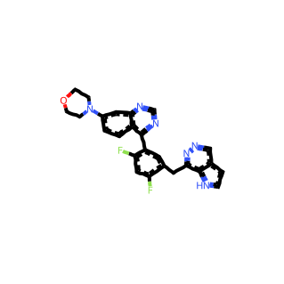 Fc1cc(F)c(-c2ncnc3cc(N4CCOCC4)ccc23)cc1Cc1nncc2cc[nH]c12